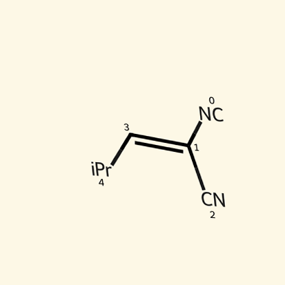 [C-]#[N+]/C(C#N)=C/C(C)C